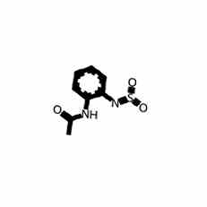 CC(=O)Nc1ccccc1N=S(=O)=O